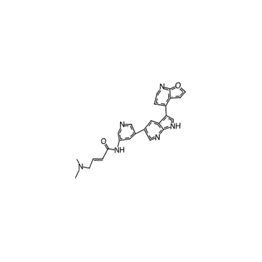 CN(C)C/C=C/C(=O)Nc1cncc(-c2cnc3[nH]cc(-c4ccnc5occc45)c3c2)c1